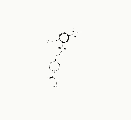 COc1ccc(S(C)(=O)=O)cc1S(=O)(=O)NCC1CCN(C(=O)OC(C(F)(F)F)C(F)(F)F)CC1